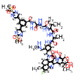 CC[C@@]1(O)C(=O)OCc2c1cc1n(c2=O)Cc2c-1nc1cc(F)c(C)c3c1c2[C@@H](N(Cc1ccc(NC(=O)[C@H](C)NC(=O)[C@@H](NC(=O)CNC(=O)CNC(=O)c2cc(-c4cnc(S(C)(=O)=O)nc4)cc(-c4cnc(S(C)(=O)=O)nc4)c2)C(C)C)cc1CNC)C(=O)O)CC3